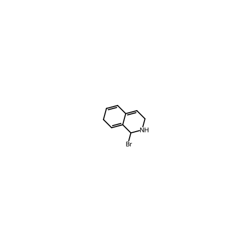 BrC1NCC=C2C=CCC=C21